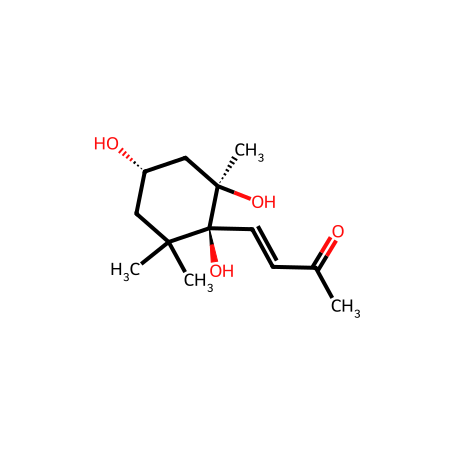 CC(=O)C=C[C@]1(O)C(C)(C)C[C@H](O)C[C@@]1(C)O